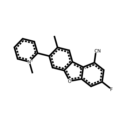 Cc1cc2c(cc1-c1cccc[n+]1C)oc1cc(F)cc(C#N)c12